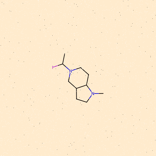 CC(I)N1CCC2C(CCN2C)C1